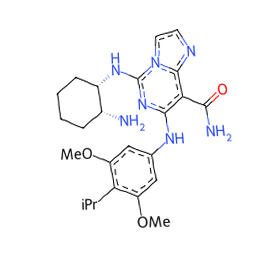 COc1cc(Nc2nc(N[C@H]3CCCC[C@H]3N)n3ccnc3c2C(N)=O)cc(OC)c1C(C)C